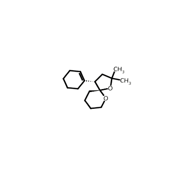 CC1(C)C[C@@H](C2=CCCCC2)[C@]2(CCCCO2)O1